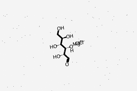 O=C[C@H](O)[C@@H](O)[C@H](O)[C@H](O)CO.[Cl-].[Cl-].[Mg+2]